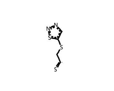 S=[C]CSc1cnns1